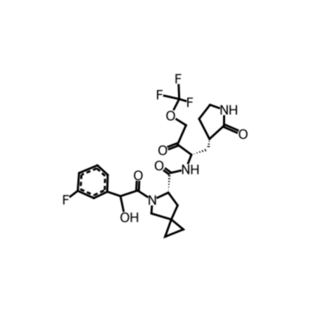 O=C1NCC[C@H]1C[C@H](NC(=O)[C@@H]1CC2(CC2)CN1C(=O)C(O)c1cccc(F)c1)C(=O)COC(F)(F)F